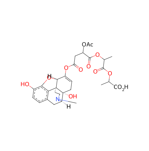 CC(=O)OC(CC(=O)OC1=CC[C@@]2(O)[C@H]3Cc4ccc(O)c5c4[C@@]2(CCN3C)[C@H]1O5)C(=O)OC(C)C(=O)OC(C)C(=O)O